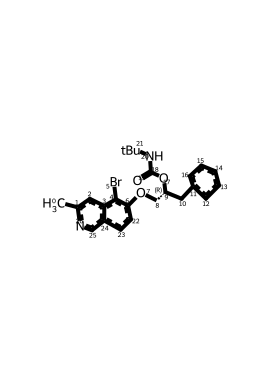 Cc1cc2c(Br)c(OC[C@@H](Cc3ccccc3)OC(=O)NC(C)(C)C)ccc2cn1